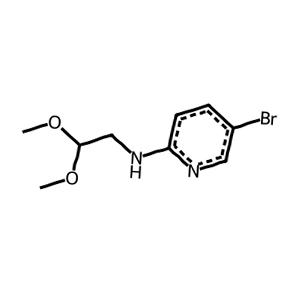 COC(CNc1ccc(Br)cn1)OC